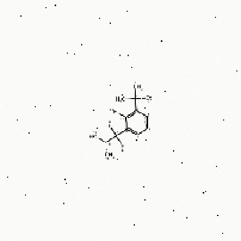 CCC(C)(C)c1cccc(C(F)(F)[C@H](C)O)c1F